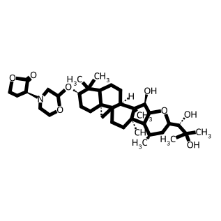 C[C@@H]1CC([C@H](O)C(C)(C)O)OC2C1[C@@]1(C)CCC34C[C@@]35CC[C@H](OC3CN([C@H]6CCOC6=O)CCO3)C(C)(C)C5CC[C@H]4C1(C)[C@H]2O